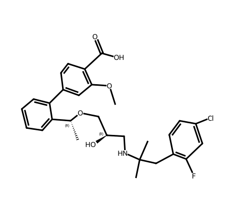 COc1cc(-c2ccccc2[C@@H](C)OC[C@H](O)CNC(C)(C)Cc2ccc(Cl)cc2F)ccc1C(=O)O